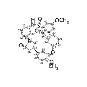 COc1cccc(S(=O)(=O)Nc2cccc(N3C[C@@H](c4ccc(OC)c(Oc5cccc(C#N)c5)c4)CC3=O)c2)c1